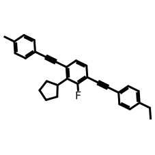 CCc1ccc(C#Cc2ccc(C#Cc3ccc(C)cc3)c(C3CCCC3)c2F)cc1